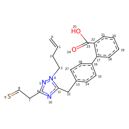 C=CCCn1nc(CC=S)nc1Cc1ccc(-c2ccccc2C(=O)O)cc1